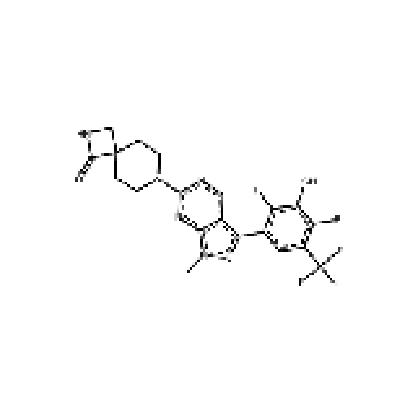 Cn1nc(-c2cc(C(F)(F)F)c(F)c(O)c2F)c2cnc(N3CCC4(CC3)CNC4=O)nc21